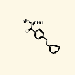 CCCN(C=O)C(=O)c1ccc(CCc2ccccc2)cc1